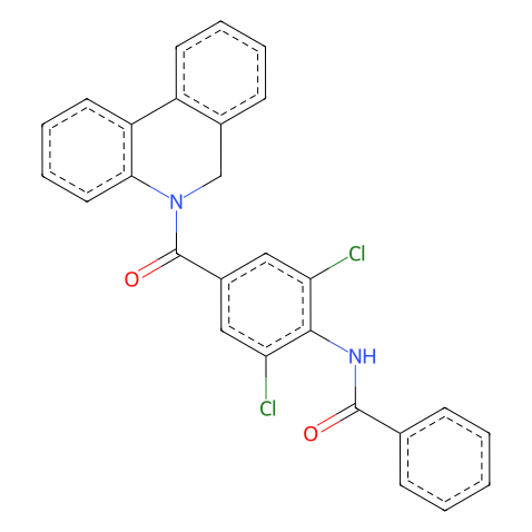 O=C(Nc1c(Cl)cc(C(=O)N2Cc3ccccc3-c3ccccc32)cc1Cl)c1ccccc1